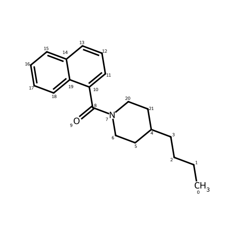 CCCCC1CCN(C(=O)c2cccc3ccccc23)CC1